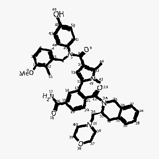 COc1cccc(CN(C(=O)c2cc(-c3cc(C(N)=O)ccc3C(=O)N3Cc4ccccc4C[C@H]3CN3CCOCC3)n(C)c2C)c2ccc(O)cc2)c1C